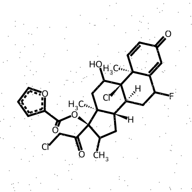 CC1C[C@H]2[C@@H]3CC(F)C4=CC(=O)C=C[C@]4(C)[C@@]3(Cl)C(O)C[C@]2(C)[C@@]1(OC(=O)c1ccco1)C(=O)CCl